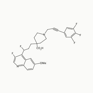 COc1ccc2ncc(F)c(C(F)CCC3(C(=O)O)CCN(CC#Cc4cc(F)c(F)c(F)c4)CC3)c2c1